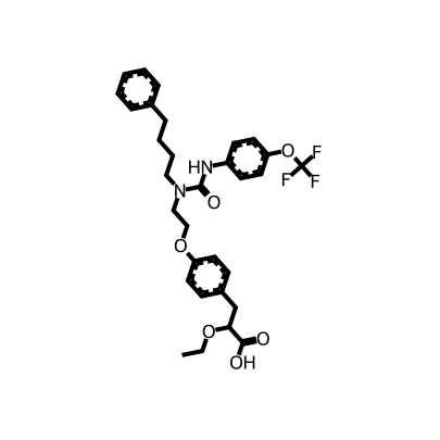 CCOC(Cc1ccc(OCCN(CCCCc2ccccc2)C(=O)Nc2ccc(OC(F)(F)F)cc2)cc1)C(=O)O